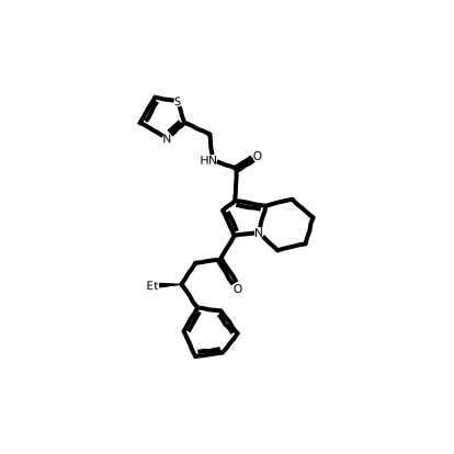 CC[C@@H](CC(=O)c1cc(C(=O)NCc2nccs2)c2n1CCCC2)c1ccccc1